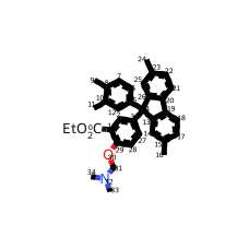 CCOC(=O)c1cc(C2(c3ccc(C)c(C)c3)c3cc(C)ccc3-c3ccc(C)cc32)ccc1OCN(C)C